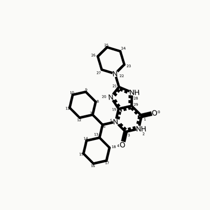 O=c1[nH]c(=O)n(C(C2CCCCC2)C2CCCCC2)c2nc(N3CCCCC3)[nH]c12